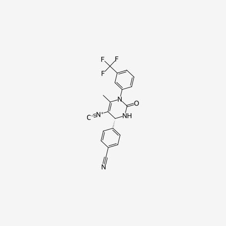 [C-]#[N+]C1=C(C)N(c2cccc(C(F)(F)F)c2)C(=O)N[C@@H]1c1ccc(C#N)cc1